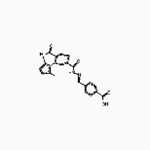 Cc1ccc(C)n1-c1cc(C(=O)N/N=C/c2ccc(C(=O)O)cc2)ccc1C(=O)O